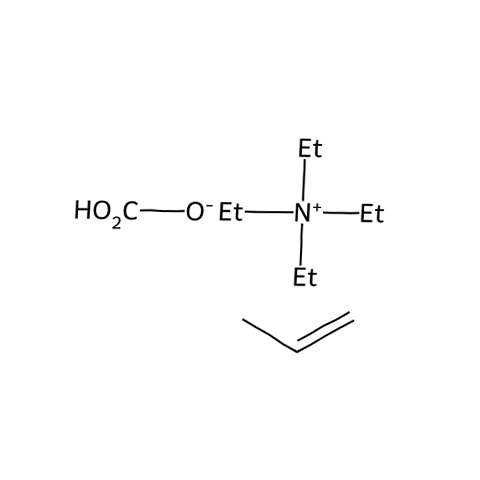 C=CC.CC[N+](CC)(CC)CC.O=C([O-])O